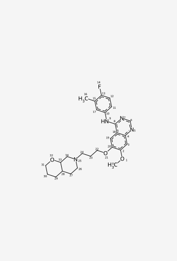 COc1cc2ncnc(Nc3ccc(F)c(C)c3)c2cc1OCCCN1CCC2CCCOC2C1